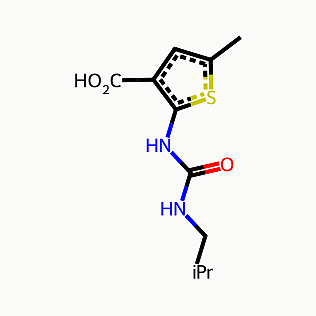 Cc1cc(C(=O)O)c(NC(=O)NCC(C)C)s1